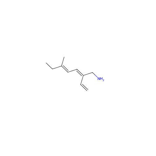 C=C/C(=C\C=C(/C)CC)CN